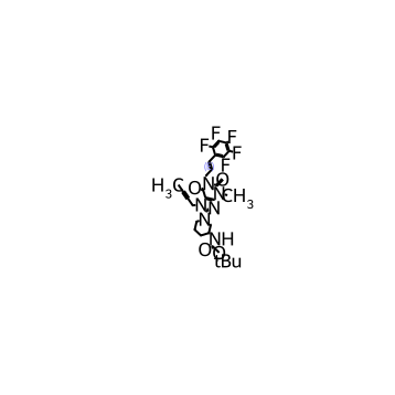 CC#CCn1c(N2CCCC(NC(=O)OC(C)(C)C)C2)nc2c1c(=O)n(C/C=C/c1c(F)c(F)c(F)c(F)c1F)c(=O)n2C